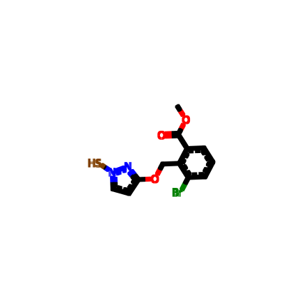 COC(=O)c1cccc(Br)c1COc1ccn(S)n1